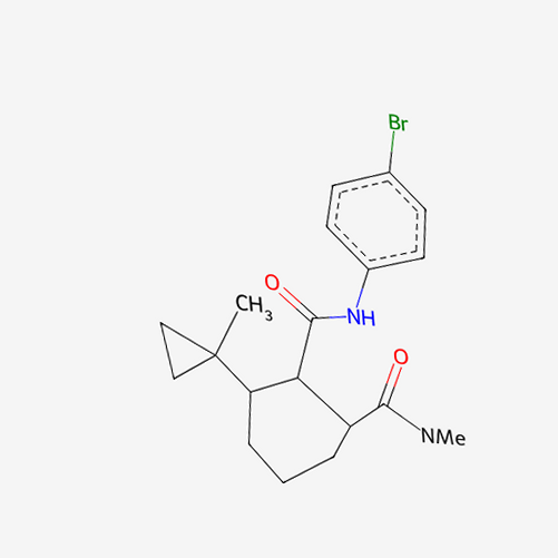 CNC(=O)C1CCCC(C2(C)CC2)C1C(=O)Nc1ccc(Br)cc1